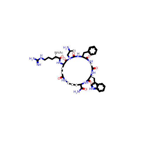 CCC(N)CN1C(=O)NC(Cc2ccccc2)C(=O)NCC(=O)N[C@@H](Cc2c[nH]c3ccccc23)C(=O)NC(C(N)=O)CCCNC(=O)CCC(NC(=O)[C@H](CCCNC(=N)N)NC(C)=O)C1=O